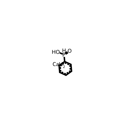 O=[PH](O)c1ccccc1.[CaH2]